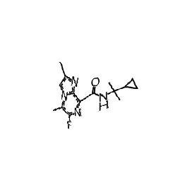 Cc1cn2c(C)c(F)nc(C(=O)NC(C)(C)C3CC3)c2n1